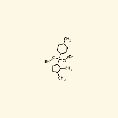 CCCO[Si](OCCC)(C1CCC(C)CC1)C1CCC(C)C1C